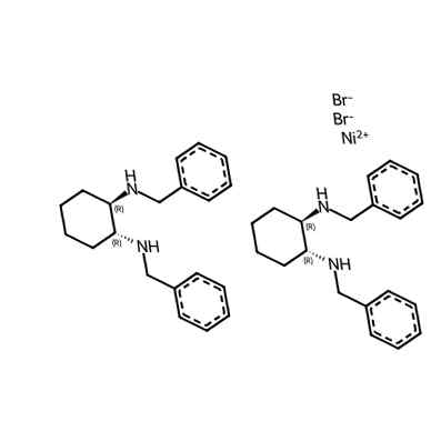 [Br-].[Br-].[Ni+2].c1ccc(CN[C@@H]2CCCC[C@H]2NCc2ccccc2)cc1.c1ccc(CN[C@@H]2CCCC[C@H]2NCc2ccccc2)cc1